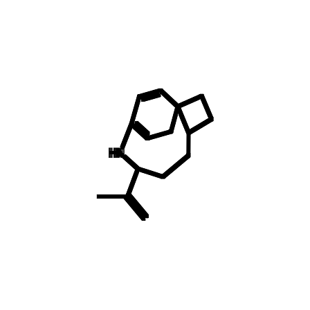 C=C(C)C1CCC2CCC23C=CC(=CC3)N1